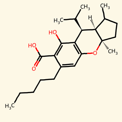 CCCCCc1cc2c(c(O)c1C(=O)O)[C@@H](C(C)C)[C@H]1C(C)CC[C@@]1(C)O2